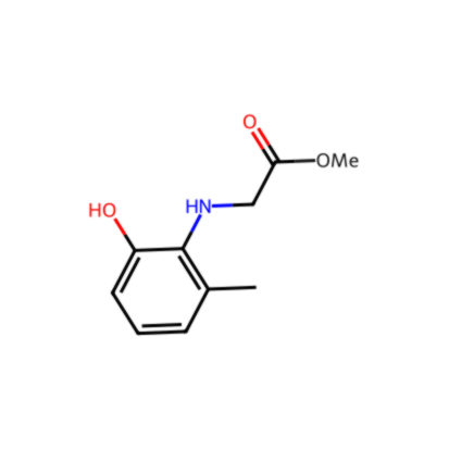 COC(=O)CNc1c(C)cccc1O